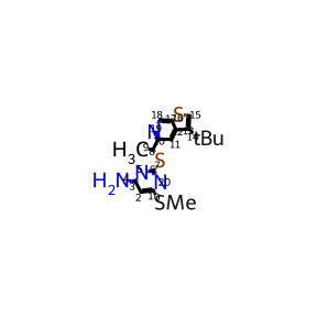 CSc1cc(N)nc(SC(C)c2cc3c(C(C)(C)C)csc3cn2)n1